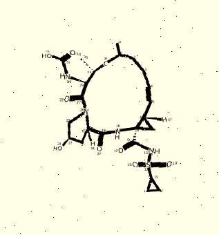 CC1CC/C=C\[C@@H]2C[C@@]2(C(=O)NS(=O)(=O)C2CC2)NC(=O)[C@@H]2C[C@@H](O)CN2C(=O)[C@@H](NC(=O)O)[C@H](C)C1